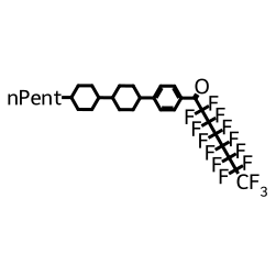 CCCCCC1CCC(C2CCC(c3ccc(C(=O)C(F)(F)C(F)(F)C(F)(F)C(F)(F)C(F)(F)C(F)(F)C(F)(F)F)cc3)CC2)CC1